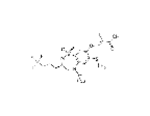 CSc1cc2c(cc1O/C=C(\F)C(=O)O)S(=O)(=O)N[C@H](CCCC(F)(F)F)CN2C12CC(C1)C2